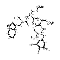 CSCC[C@H](NC(=O)[C@H](N)Cc1c[nH]c2ccccc12)C(=O)N[C@@H](CC(=O)O)C(=O)N[C@@H](Cc1cc(F)c(F)c(F)c1)C(N)=O